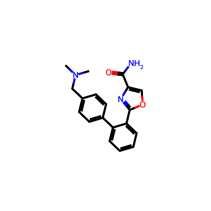 CN(C)Cc1ccc(-c2ccccc2-c2nc(C(N)=O)co2)cc1